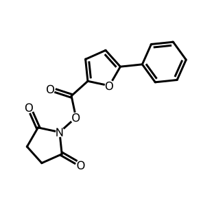 O=C(ON1C(=O)CCC1=O)c1ccc(-c2ccccc2)o1